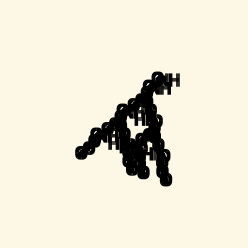 CNC(=O)CCNC(=O)COC(COCCOCCNC(=O)COC(COCCOCCNC(=O)COCCOCCOC)COCCOCCNC(=O)COCCOCCOC)COCCOCCNC(=O)COC(COCCOCCNC(=O)COCCOCCOC)COCCOCCNC(=O)COCCOCCOC